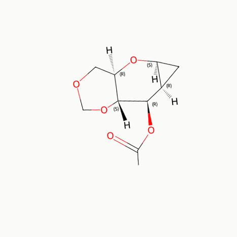 CC(=O)O[C@@H]1[C@@H]2C[C@@H]2O[C@@H]2COCO[C@@H]12